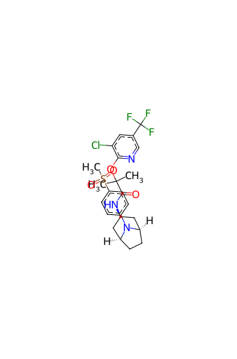 CC(C)(Oc1ncc(C(F)(F)F)cc1Cl)C(=O)N[C@H]1C[C@H]2CC[C@@H](C1)N2c1ccc(S(C)(=O)=O)cc1